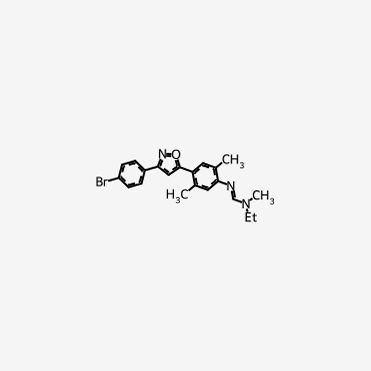 CCN(C)C=Nc1cc(C)c(-c2cc(-c3ccc(Br)cc3)no2)cc1C